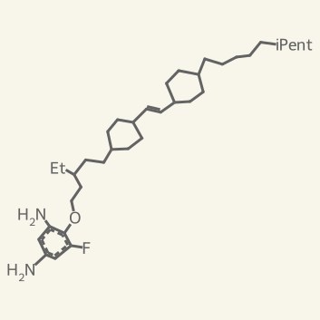 CCCC(C)CCCCCC1CCC(/C=C/C2CCC(CCC(CC)CCOc3c(N)cc(N)cc3F)CC2)CC1